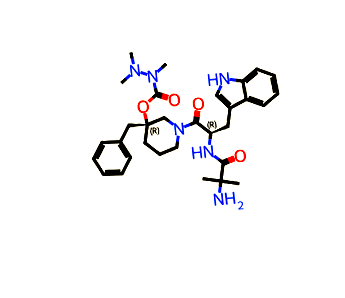 CN(C)N(C)C(=O)O[C@@]1(Cc2ccccc2)CCCN(C(=O)[C@@H](Cc2c[nH]c3ccccc23)NC(=O)C(C)(C)N)C1